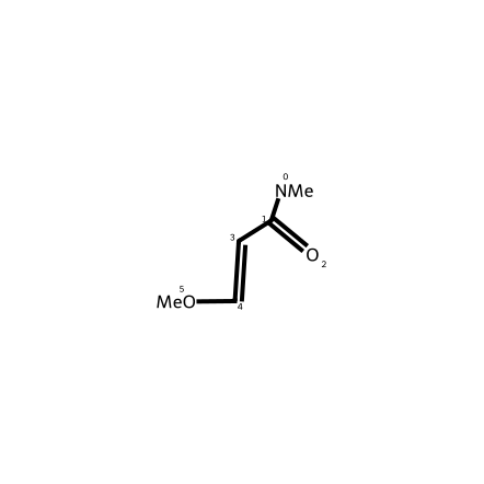 CNC(=O)C=COC